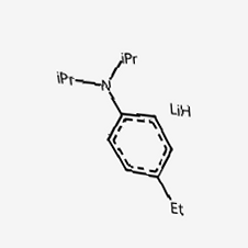 CCc1ccc(N(C(C)C)C(C)C)cc1.[LiH]